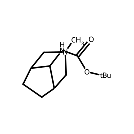 CN1CC2CCC(C1)C2NC(=O)OC(C)(C)C